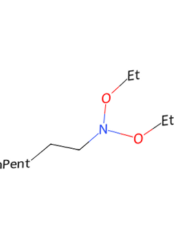 CCCCCCCN(OCC)OCC